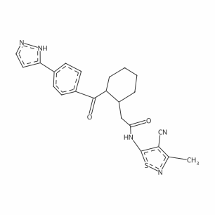 Cc1nsc(NC(=O)CC2CCCCC2C(=O)c2ccc(-c3ccn[nH]3)cc2)c1C#N